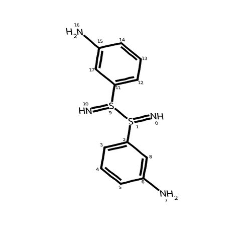 N=S(c1cccc(N)c1)S(=N)c1cccc(N)c1